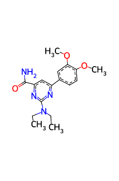 CCN(CC)c1nc(C(N)=O)cc(-c2ccc(OC)c(OC)c2)n1